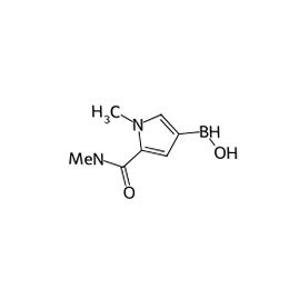 CNC(=O)c1cc(BO)cn1C